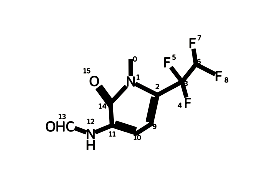 Cn1c(C(F)(F)C(F)F)ccc(NC=O)c1=O